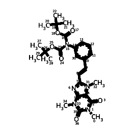 Cn1c(=O)c2c(nc(C=Cc3cccc(N(C(=O)OC(C)(C)C)C(=O)OC(C)(C)C)c3)n2C)n(C)c1=O